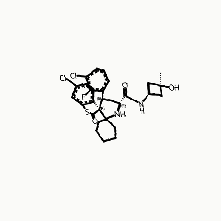 C[C@]1(O)C[C@@H](NC(=O)[C@@H]2NC3(CCCCC3)[C@@]3(C(=O)Sc4cc(Cl)ccc43)[C@H]2c2cccc(Cl)c2F)C1